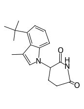 Cc1cn(C2CCC(=O)NC2=O)c2cccc(C(C)(C)C)c12